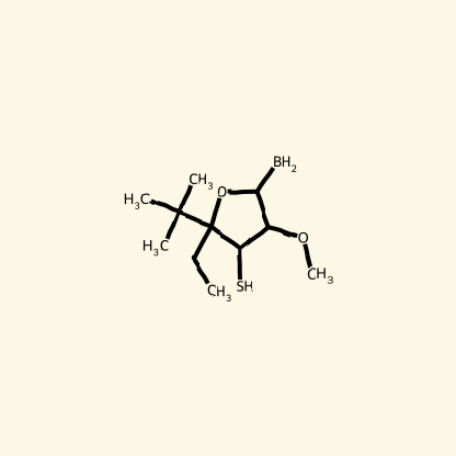 BC1OC(CC)(C(C)(C)C)C(S)C1OC